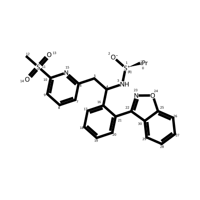 CC(C)[S@+]([O-])NC(Cc1cccc(S(C)(=O)=O)n1)c1ccccc1-c1noc2ccccc12